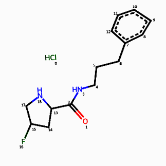 Cl.O=C(NCCCc1ccccc1)C1CC(F)CN1